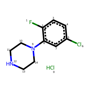 Cl.Fc1ccc(Cl)cc1N1CCNCC1